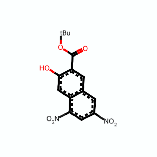 CC(C)(C)OC(=O)c1cc2cc([N+](=O)[O-])cc([N+](=O)[O-])c2cc1O